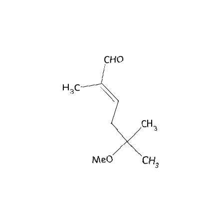 COC(C)(C)CC=C(C)C=O